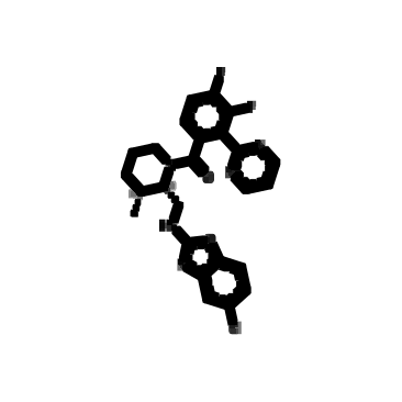 C[C@@H]1CCCN(C(=O)c2ccc(F)c(F)c2-c2ncccn2)[C@@H]1CNc1nc2cc(Cl)ccc2o1